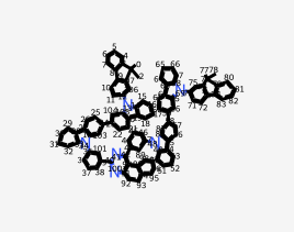 CC1(C)c2ccccc2-c2ccc(-n3c4ccccc4c4ccc(-c5ccc6c7ccccc7n(-c7cccc(-c8nc(-c9cccc(-n%10c%11ccccc%11c%11ccc(-c%12ccc%13c%14ccccc%14n(-c%14ccc%15c(c%14)C(C)(C)c%14ccccc%14-%15)c%13c%12)cc%11%10)c9)c9c(ccc%10ccccc%109)n8)c7)c6c5)cc43)cc21